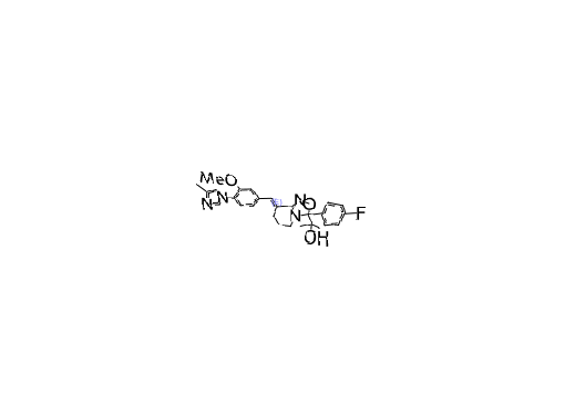 COc1cc(/C=C2\CCCN3C2=NOC3(c2ccc(F)cc2)C(C)(C)O)ccc1-n1cnc(C)c1